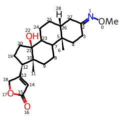 CO/N=C1\CC[C@]2(C)C3CC[C@]4(C)[C@@H](C5=CC(=O)OC5)CC[C@]4(O)C3CC[C@@H]2C1